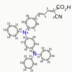 N#C/C(=C\C=C\c1ccc(N(c2ccccc2)c2ccc(N(c3ccccc3)c3ccccc3)cc2)cc1)C(=O)O